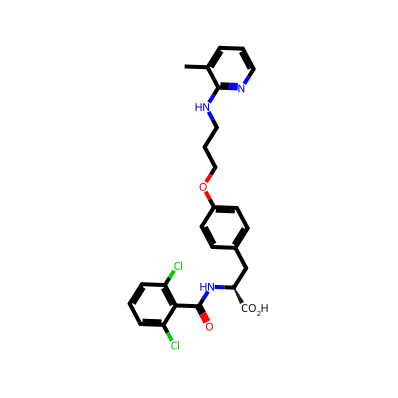 Cc1cccnc1NCCCOc1ccc(C[C@H](NC(=O)c2c(Cl)cccc2Cl)C(=O)O)cc1